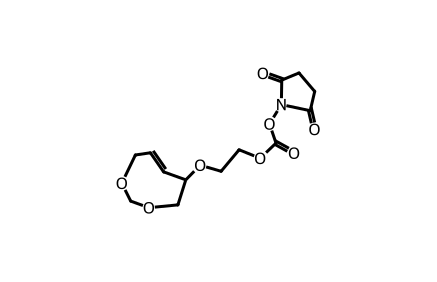 O=C(OCCOC1/C=C/COCOC1)ON1C(=O)CCC1=O